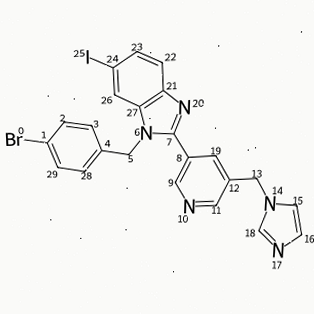 Brc1ccc(Cn2c(-c3cncc(Cn4ccnc4)c3)nc3ccc(I)cc32)cc1